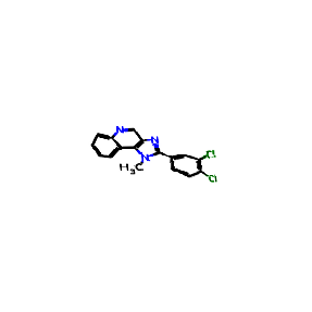 Cn1c(-c2ccc(Cl)c(Cl)c2)nc2cnc3ccccc3c21